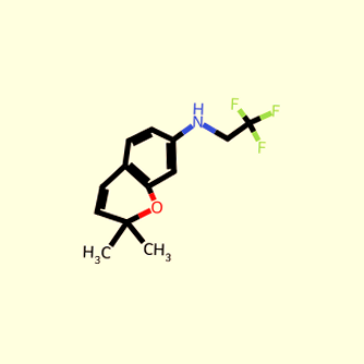 CC1(C)C=Cc2ccc(NCC(F)(F)F)cc2O1